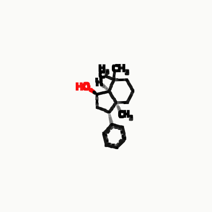 CC1(C)CCC[C@@]2(C)[C@H](c3ccccc3)C[C@@H](O)[C@@H]12